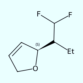 CCC(C(F)F)[C@@H]1C=CCO1